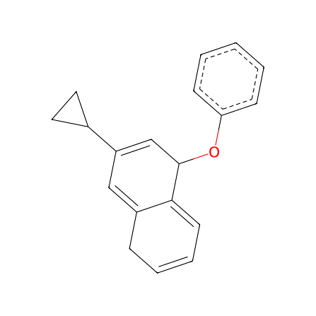 C1=CCC2=CC(C3CC3)=CC(Oc3ccccc3)C2=C1